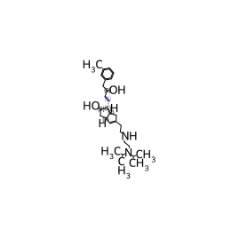 Cc1cccc(C[C@@H](O)/C=C/[C@@H]2[C@H]3CC(CCNCCN(C(C)C)C(C)C)=C[C@H]3C[C@H]2O)c1